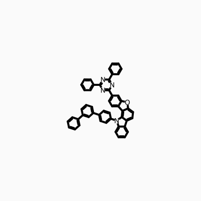 c1ccc(-c2cccc(-c3ccc(-n4c5ccccc5c5ccc6oc7cc(-c8nc(-c9ccccc9)nc(-c9ccccc9)n8)ccc7c6c54)cc3)c2)cc1